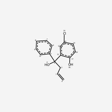 C=CCC(O)(c1ccccc1)c1cc(Cl)ccc1O